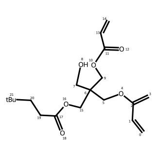 C=CC(=C)OCC(CO)(COC(=O)C=C)COC(=O)CCC(C)(C)C